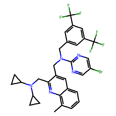 Cc1cccc2cc(CN(Cc3cc(C(F)(F)F)cc(C(F)(F)F)c3)c3ncc(Br)cn3)c(CN(C3CC3)C3CC3)nc12